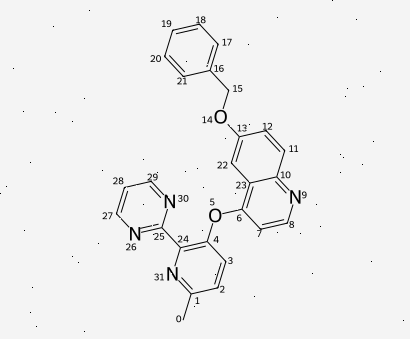 Cc1ccc(Oc2ccnc3ccc(OCc4ccccc4)cc23)c(-c2ncccn2)n1